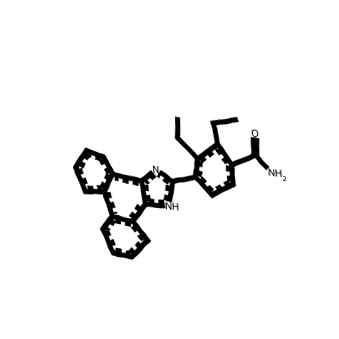 CCc1c(C(N)=O)ccc(-c2nc3c4ccccc4c4ccccc4c3[nH]2)c1CC